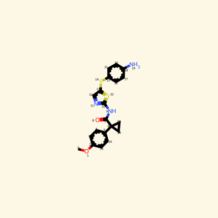 COc1ccc(C2(C(=O)Nc3ncc(Sc4ccc(N)cc4)s3)CC2)cc1